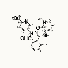 Cc1ccccc1/C(=N\N(C=O)c1ccc(C(C)(C)C)nc1)Nc1cccn(C)c1=O